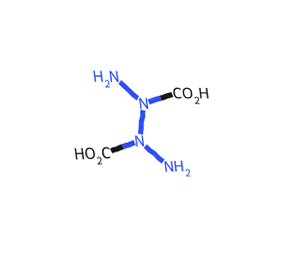 NN(C(=O)O)N(N)C(=O)O